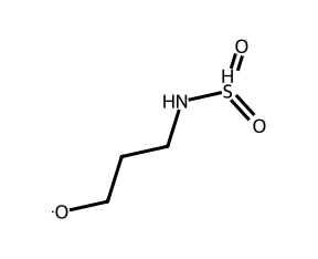 [O]CCCN[SH](=O)=O